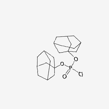 O=P(Cl)(OC12CC3CC(CC(C3)C1)C2)OC12CC3CC(CC(C3)C1)C2